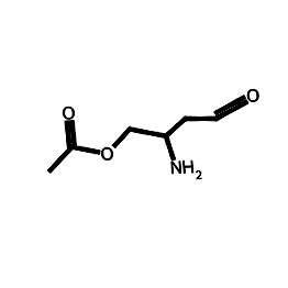 CC(=O)OCC(N)CC=O